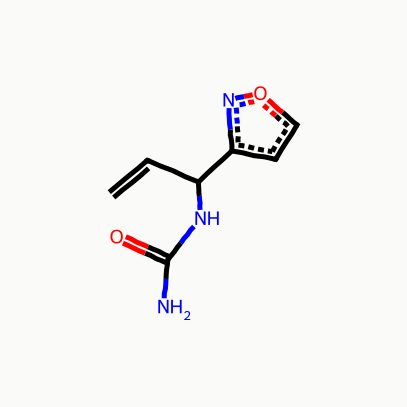 C=CC(NC(N)=O)c1ccon1